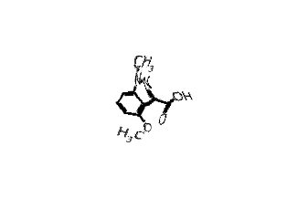 COc1cccc2c1c(C(=O)O)nn2C